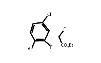 CC(=O)c1ccc(Cl)cc1F.CCOC(=O)CF